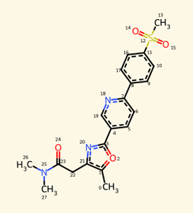 Cc1oc(-c2ccc(-c3ccc(S(C)(=O)=O)cc3)nc2)nc1CC(=O)N(C)C